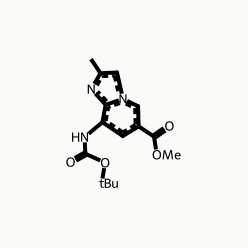 COC(=O)c1cc(NC(=O)OC(C)(C)C)c2nc(C)cn2c1